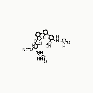 N#CCOc1cc(-c2cccc(-c3cccc4c3CC[C@@H]4Oc3nc(OCC#N)c(CNC[C@@H]4CCC(=O)N4)cc3Cl)c2Cl)ccc1CNC[C@@H]1CCC(=O)N1